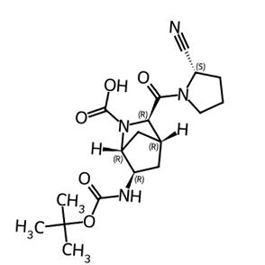 CC(C)(C)OC(=O)N[C@@H]1C[C@@H]2C[C@H]1N(C(=O)O)[C@H]2C(=O)N1CCC[C@H]1C#N